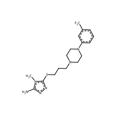 Cn1c(N)nnc1SCCCN1CCN(c2cccc(C(F)(F)F)c2)CC1